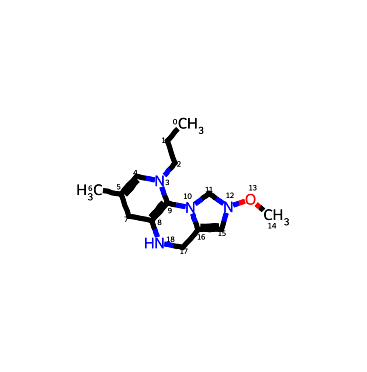 CCCN1C=C(C)CC2=C1N1CN(OC)C=C1CN2